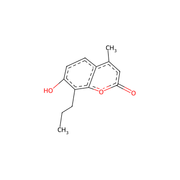 CCCc1c(O)ccc2c(C)cc(=O)oc12